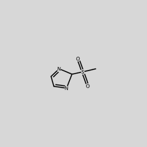 CS(=O)(=O)[C]1N=CC=N1